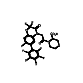 O=C(O)C1CSCCN1C(=O)CN1C(=O)C(F)(F)Oc2cc(F)c(-c3c(F)c(F)c(F)c(F)c3F)cc21